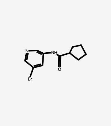 O=C(Nc1cncc(Br)c1)C1CCCC1